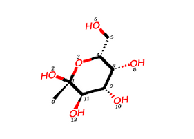 C[C@@]1(O)O[C@H](CO)[C@H](O)[C@H](O)[C@H]1O